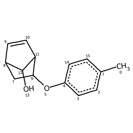 Cc1ccc(OC2CC3C=CC2C3O)cc1